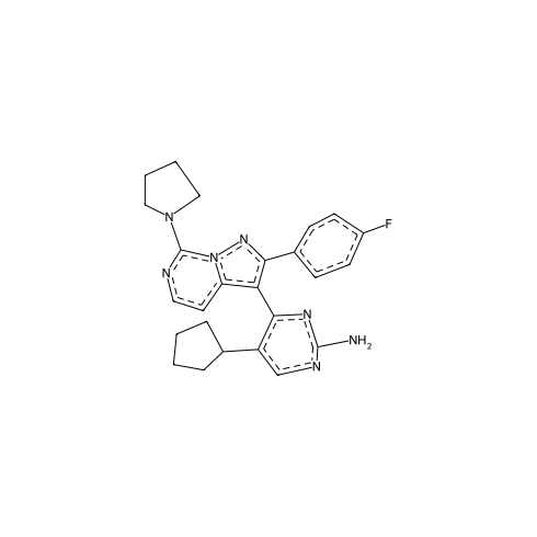 Nc1ncc(C2CCCC2)c(-c2c(-c3ccc(F)cc3)nn3c(N4CCCC4)nccc23)n1